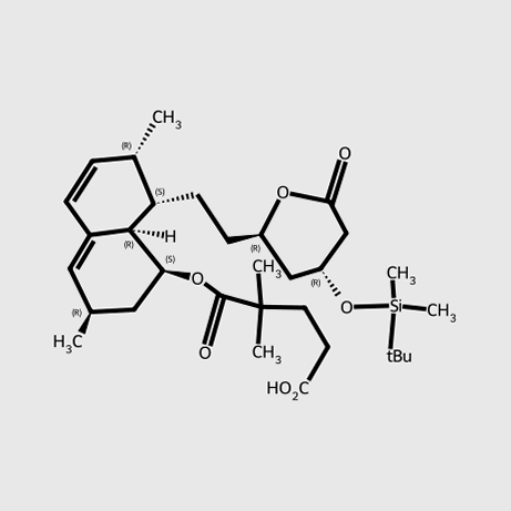 C[C@H]1C=C2C=C[C@H](C)[C@H](CC[C@@H]3C[C@@H](O[Si](C)(C)C(C)(C)C)CC(=O)O3)[C@H]2[C@@H](OC(=O)C(C)(C)CCC(=O)O)C1